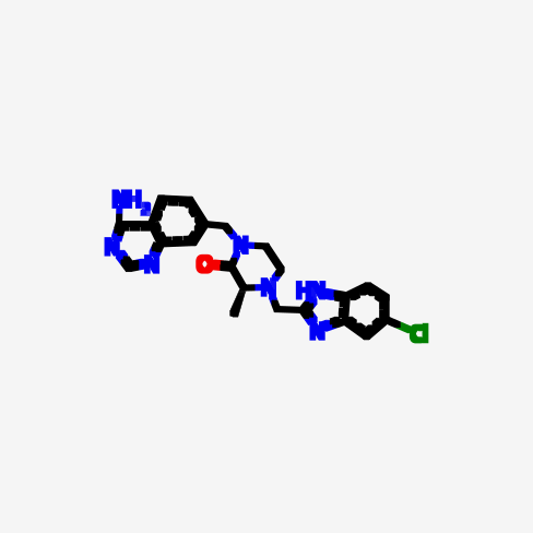 C[C@H]1C(=O)N(Cc2ccc3c(N)ncnc3c2)CCN1Cc1nc2cc(Cl)ccc2[nH]1